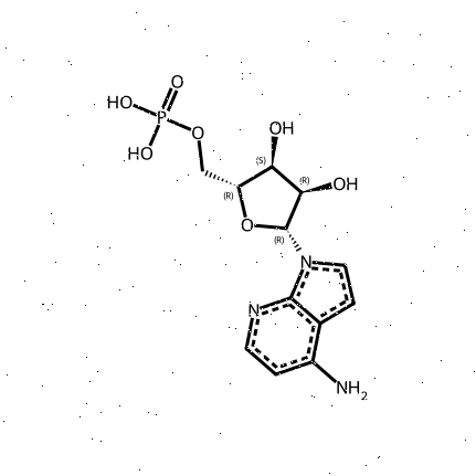 Nc1ccnc2c1ccn2[C@@H]1O[C@H](COP(=O)(O)O)[C@@H](O)[C@H]1O